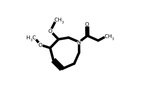 CCC(=O)N1CCC#CC(OC)C(OC)C1